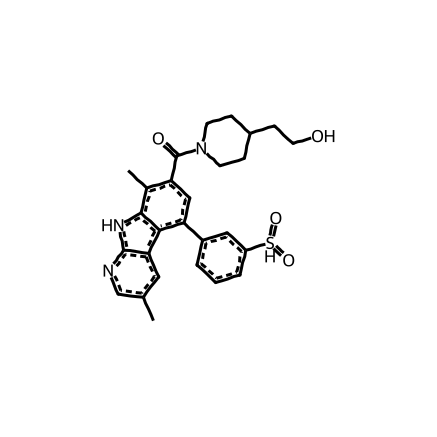 Cc1cnc2[nH]c3c(C)c(C(=O)N4CCC(CCO)CC4)cc(-c4cccc([SH](=O)=O)c4)c3c2c1